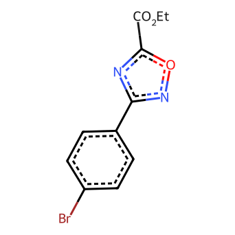 CCOC(=O)c1nc(-c2ccc(Br)cc2)no1